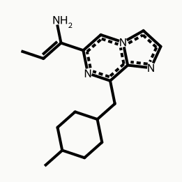 C/C=C(\N)c1cn2ccnc2c(CC2CCC(C)CC2)n1